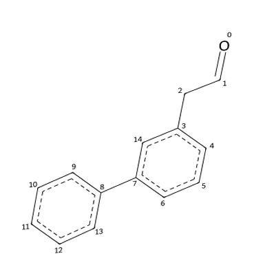 O=CCc1cccc(-c2ccccc2)c1